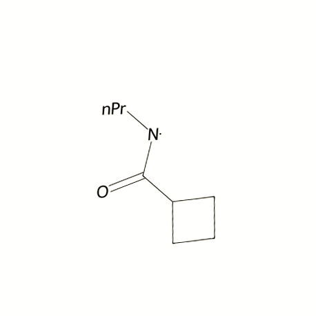 CCC[N]C(=O)C1CCC1